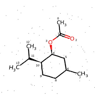 CC(=O)O[C@H]1CC(C)CC[C@H]1C(C)C